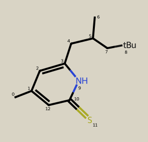 Cc1cc(CC(C)CC(C)(C)C)[nH]c(=S)c1